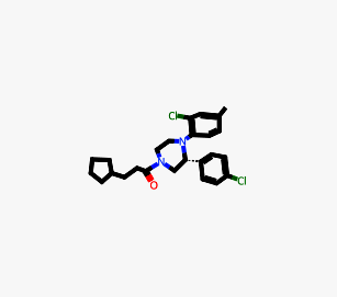 Cc1ccc(N2CCN(C(=O)CCC3CCCC3)C[C@H]2c2ccc(Cl)cc2)c(Cl)c1